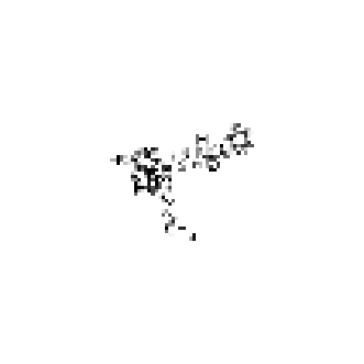 CCCCCCP(=O)(O)O[C@@H](CCCCNC(=O)OCc1ccccc1)C(=O)N1CCC[C@H]1C(=O)O